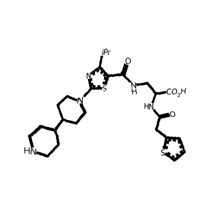 CC(C)c1nc(N2CCC(C3CCNCC3)CC2)sc1C(=O)NCC(NC(=O)Cc1cccs1)C(=O)O